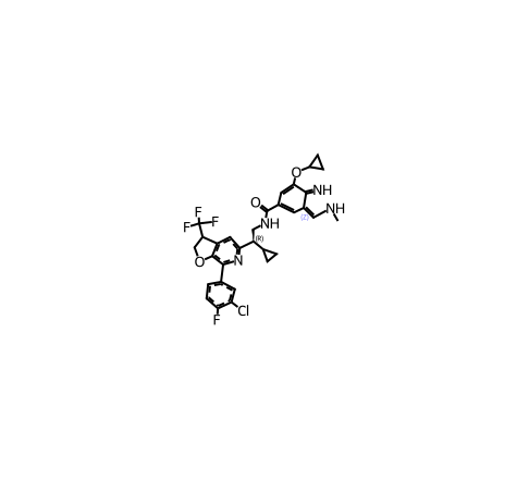 CN/C=C1/C=C(C(=O)NC[C@H](c2cc3c(c(-c4ccc(F)c(Cl)c4)n2)OCC3C(F)(F)F)C2CC2)C=C(OC2CC2)C1=N